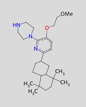 COCCOc1ccc(C2CCC3C(C2)C(C)(C)CCC3(C)C)nc1N1CCNCC1